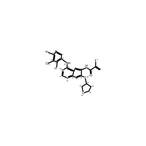 C=C(F)C(=O)Nc1cc2c(Nc3ccc(F)c(Cl)c3F)ncnc2cc1OC1CCOC1